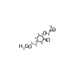 COCCc1ccc(OCC2CO2)c(Cl)c1